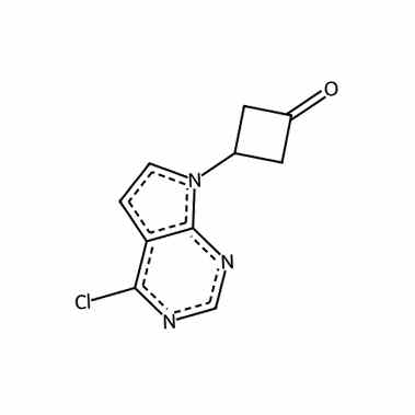 O=C1CC(n2ccc3c(Cl)ncnc32)C1